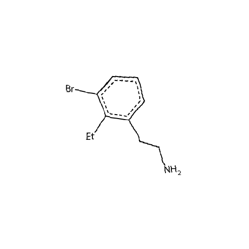 CCc1c(Br)cccc1CCN